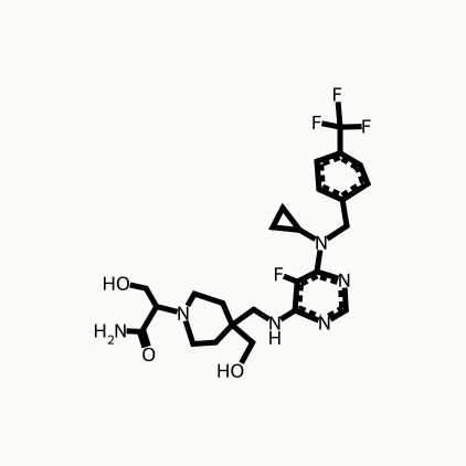 NC(=O)C(CO)N1CCC(CO)(CNc2ncnc(N(Cc3ccc(C(F)(F)F)cc3)C3CC3)c2F)CC1